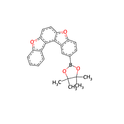 CC1(C)OB(c2ccc3oc4ccc5oc6ccccc6c5c4c3c2)OC1(C)C